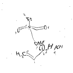 C=CC(=O)O.CCS(=O)(=O)OC.[KH]